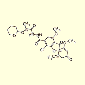 COC1=CC(=O)C[C@@H](C)[C@]12Oc1c(Cl)c(C(=O)NNC(=O)[C@H](C)OC3CCCCO3)cc(OC)c1C2=O